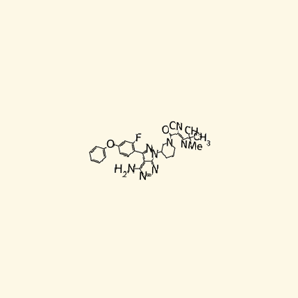 CNC(C)(C)C=C(C#N)C(=O)N1CCCC(n2nc(-c3ccc(Oc4ccccc4)cc3F)c3c(N)ncnc32)C1